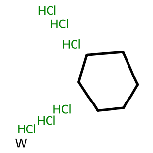 C1CCCCC1.Cl.Cl.Cl.Cl.Cl.Cl.[W]